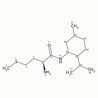 CSCC[C@H](N)C(=O)NC1CC(C)CCC1C(C)C